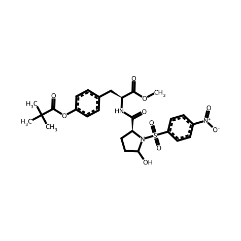 COC(=O)[C@H](Cc1ccc(OC(=O)C(C)(C)C)cc1)NC(=O)[C@@H]1CCC(O)N1S(=O)(=O)c1ccc([N+](=O)[O-])cc1